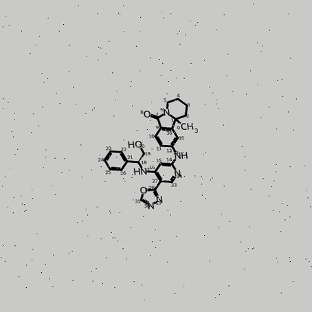 CC12CCCCN1C(=O)c1ccc(Nc3cc(N[C@H](CO)c4ccccc4)c(-c4nnco4)cn3)cc12